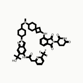 CN(CC1CCC(n2cc3cc(NC(=O)Cc4cccc(C(F)(F)F)n4)c(C(C)(C)O)cc3n2)CC1)C1CCC2(CC1)CC(Nc1cccc3c1C(=O)N(C1CCC(=O)NC1=O)C3=O)C2